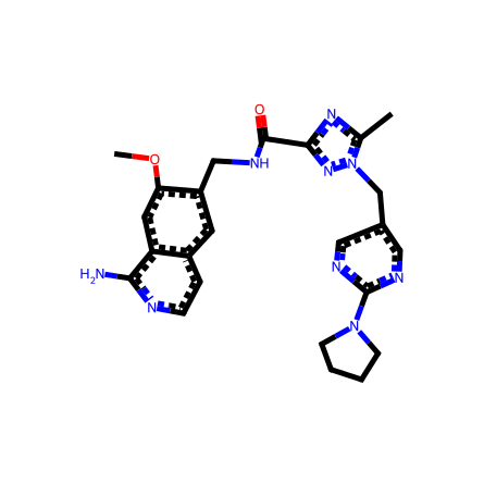 COc1cc2c(N)nccc2cc1CNC(=O)c1nc(C)n(Cc2cnc(N3CCCC3)nc2)n1